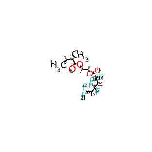 CCC(C)C(=O)OCCOC(=O)C(F)(F)CC(F)(F)CC(F)F